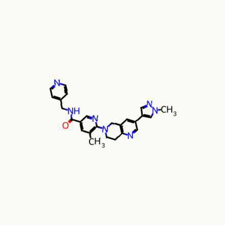 Cc1cc(C(=O)NCc2ccncc2)cnc1N1CCc2ncc(-c3cnn(C)c3)cc2C1